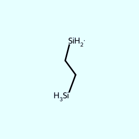 [SiH2]CC[SiH3]